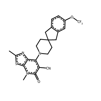 Cc1nc2c(N3CCC4(CC3)Cc3ccc(OC(F)(F)F)cc3C4)c(C#N)c(=O)n(C)c2s1